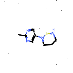 Cc1ncc(N2CCCNS2)cn1